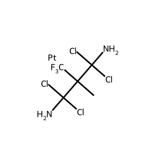 CC(C(F)(F)F)(C(N)(Cl)Cl)C(N)(Cl)Cl.[Pt]